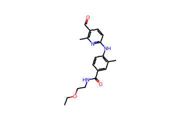 CCOCCNC(=O)c1ccc(Nc2ccc(C=O)c(C)n2)c(C)c1